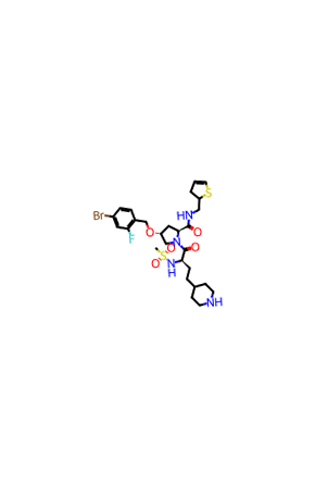 CS(=O)(=O)N[C@H](CCC1CCNCC1)C(=O)N1C[C@H](OCc2ccc(Br)cc2F)C[C@H]1C(=O)NCC1CC=CS1